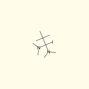 CN(C)C(I)(N(C)C)C(C)(C)C